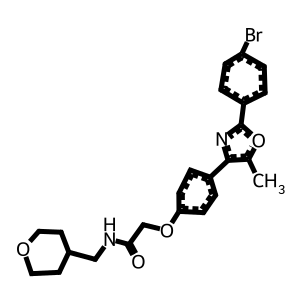 Cc1oc(-c2ccc(Br)cc2)nc1-c1ccc(OCC(=O)NCC2CCOCC2)cc1